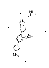 Cl.NCCCn1ncc2cc(-n3ccc(-c4ccc(C(F)(F)F)cc4)cc3=O)ccc21